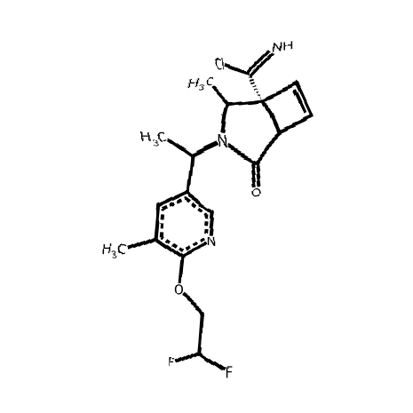 Cc1cc(C(C)N2C(=O)C3C=C[C@]3(C(=N)Cl)C2C)cnc1OCC(F)F